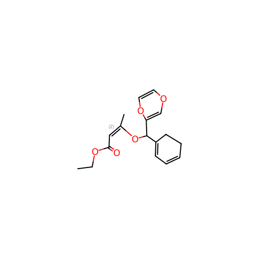 CCOC(=O)/C=C(/C)OC(C1=CC=CCC1)C1=COC=CO1